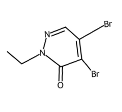 CCn1ncc(Br)c(Br)c1=O